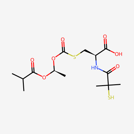 CC(C)C(=O)O[C@H](C)OC(=O)SC[C@H](NC(=O)C(C)(C)S)C(=O)O